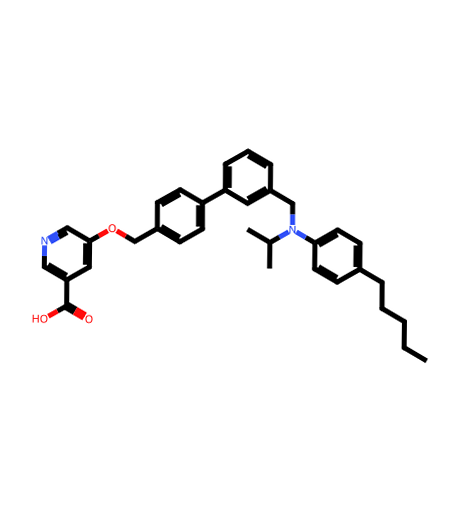 CCCCCc1ccc(N(Cc2cccc(-c3ccc(COc4cncc(C(=O)O)c4)cc3)c2)C(C)C)cc1